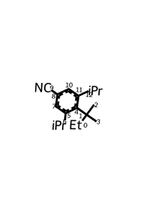 CCC(C)(C)c1c(C(C)C)cc(C#N)cc1C(C)C